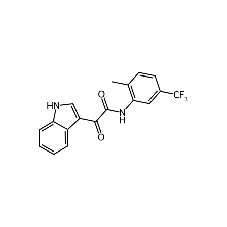 Cc1ccc(C(F)(F)F)cc1NC(=O)C(=O)c1c[nH]c2ccccc12